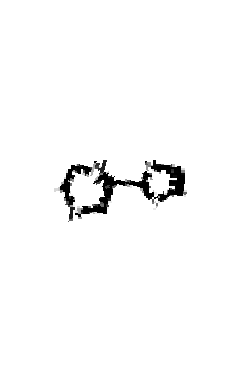 [c]1cnc(-c2nccs2)cn1